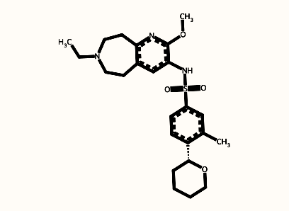 CCN1CCc2cc(NS(=O)(=O)c3ccc([C@H]4CCCCO4)c(C)c3)c(OC)nc2CC1